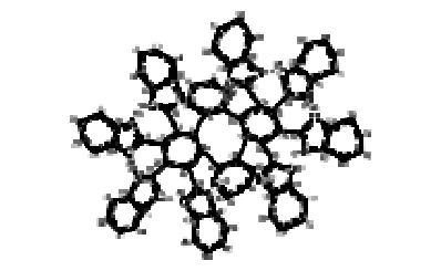 c1cnc2c(c1)-c1c(-c3nc4ccccc4o3)c(-c3nc4ccccc4o3)c(-c3nc4ccccc4o3)c(-c3nc4ccccc4o3)c1-c1ncccc1-c1c(-c3nc4ccccc4o3)c(-c3nc4ccccc4o3)c(-c3nc4ccccc4o3)c(-c3nc4ccccc4o3)c1-2